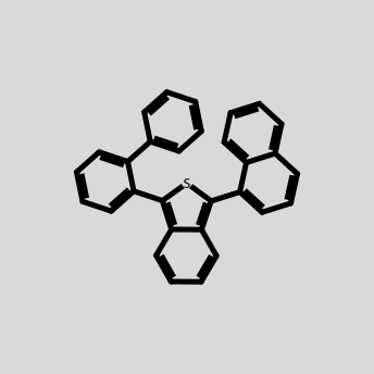 c1ccc(-c2ccccc2-c2sc(-c3cccc4ccccc34)c3ccccc23)cc1